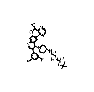 COC(=O)c1ncccc1-c1ccc2ncc(-c3cc(F)cc(F)c3)c(N3CCC(NCCNC(=O)OC(C)(C)C)CC3)c2c1